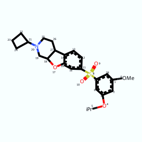 COc1cc(OC(C)C)cc(S(=O)(=O)c2ccc3c(c2)OC2CN(C4CCC4)CCC32)c1